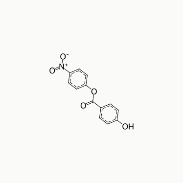 O=C(Oc1ccc([N+](=O)[O-])cc1)c1ccc(O)cc1